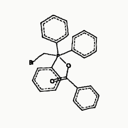 O=C(OP(CBr)(c1ccccc1)(c1ccccc1)c1ccccc1)c1ccccc1